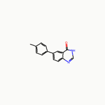 Cc1ccc(-c2ccc3nc[nH]c(=O)c3c2)cc1